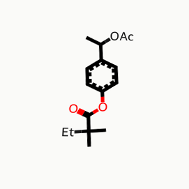 CCC(C)(C)C(=O)Oc1ccc(C(C)OC(C)=O)cc1